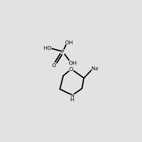 O=P(O)(O)O.[Na][CH]1CNCCO1